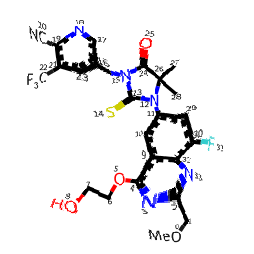 COCc1nc(OCCO)c2cc(N3C(=S)N(c4cnc(C#N)c(C(F)(F)F)c4)C(=O)C3(C)C)cc(F)c2n1